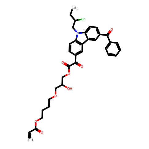 C=CC(=O)OCCCCOCC(O)COC(=O)C(=O)c1ccc2c(c1)c1cc(C(=O)c3ccccc3)ccc1n2CC(Br)CC